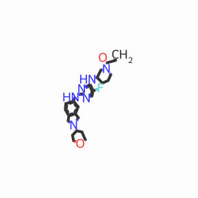 C=CC(=O)N1CCCC(Nc2nc(Nc3ccc4c(c3)CN(C3CCOCC3)C4)ncc2F)C1